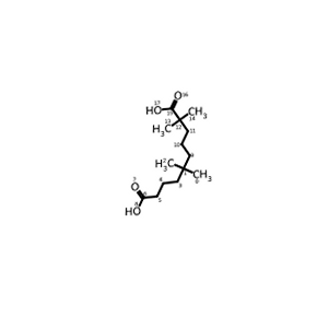 CC(C)(CCCC(=O)O)CCCC(C)(C)C(=O)O